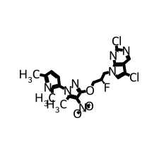 Cc1ccc(-n2nc(OC[C@H](F)Cn3cc(Cl)c4cnc(Cl)nc43)c([N+](=O)[O-])c2C)c(C)n1